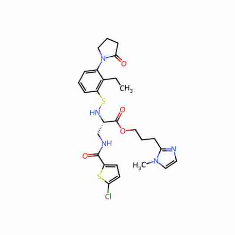 CCc1c(SN[C@@H](CNC(=O)c2ccc(Cl)s2)C(=O)OCCCc2nccn2C)cccc1N1CCCC1=O